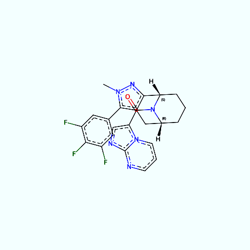 Cn1nc2c(c1-c1cc(F)c(F)c(F)c1)C[C@H]1CCC[C@@H]2N1C(=O)c1cnc2ncccn12